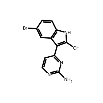 Nc1nccc(-c2c(O)[nH]c3ccc(Br)cc23)n1